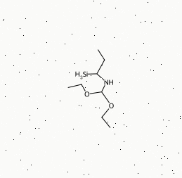 CCOC(NC([SiH3])CC)OCC